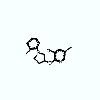 Cc1cnc(OC2CCN(c3ccccc3C)C2)c(Cl)c1